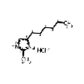 CCCCCCc1c[nH]c(C)n1.Cl